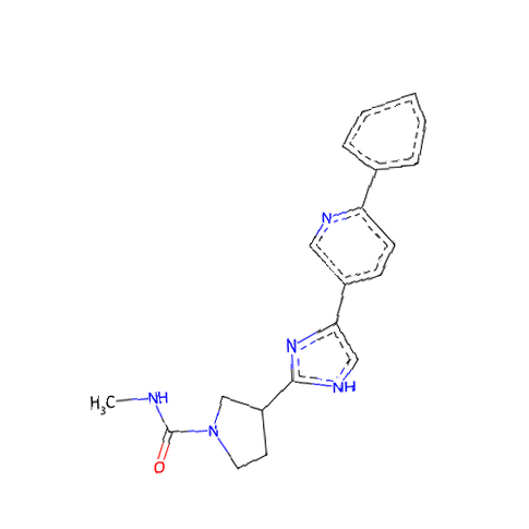 CNC(=O)N1CCC(c2nc(-c3ccc(-c4ccccc4)nc3)c[nH]2)C1